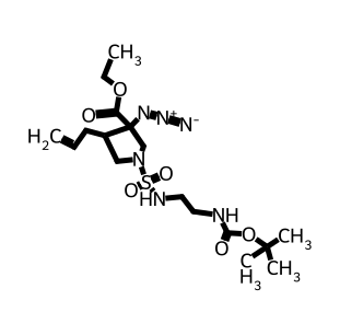 C=CCC1CN(S(=O)(=O)NCCNC(=O)OC(C)(C)C)CC1(N=[N+]=[N-])C(=O)OCC